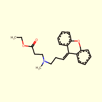 CCOC(=O)CCN(C)CCC=C1c2ccccc2Oc2ccccc21